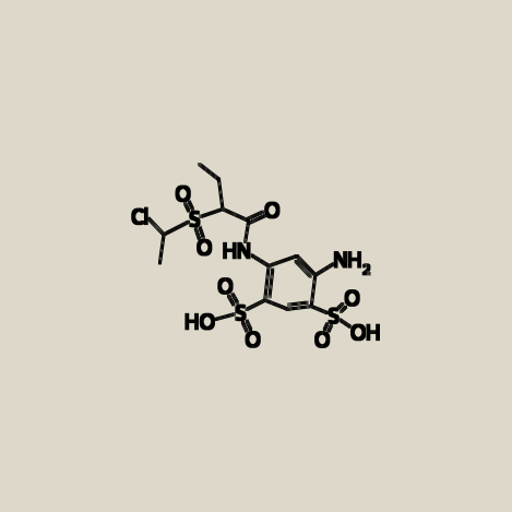 CCC(C(=O)Nc1cc(N)c(S(=O)(=O)O)cc1S(=O)(=O)O)S(=O)(=O)C(C)Cl